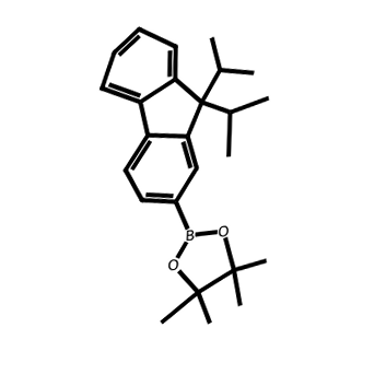 CC(C)C1(C(C)C)c2ccccc2-c2ccc(B3OC(C)(C)C(C)(C)O3)cc21